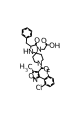 Cc1onc(-c2c(F)cccc2Cl)c1C(=O)N1CCC2(CC1)NC(Cc1ccccc1)C(=O)N2CC(=O)O